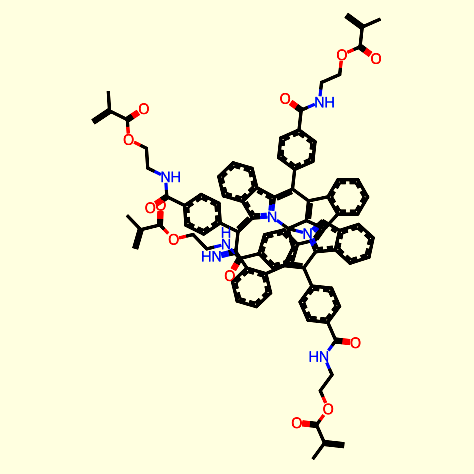 C=C(C)C(=O)OCCNC(=O)c1ccc(C2=C3CC45C6=C(C(c7ccc(C(=O)NCCOC(=O)C(=C)C)cc7)=c7c8ccccc8/c(n74)=C(\c4ccc(C(=O)NCCOC(=O)C(=C)C)cc4)C(=N)c4ccccc43)c3ccccc3C6=C(c3ccc(C(=O)NCCOC(=O)C(=C)C)cc3)c3c4ccccc4c2n35)cc1